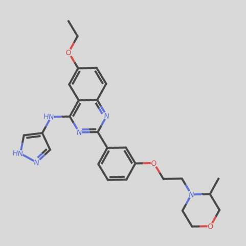 CCOc1ccc2nc(-c3cccc(OCCN4CCOCC4C)c3)nc(Nc3cn[nH]c3)c2c1